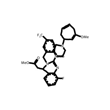 COC(=O)CC1c2cccc(F)c2N=C(N2CCN(C3C=C(OC)CC=CC3)CC2)N1Cc1cc(C(F)(F)F)ccc1OC